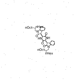 CCCCCCCCC(CCCCCC)CN1C(=O)C(=c2[nH]c(=O)c(=C3C(=O)N(CC(CCCCCC)CCCCCCCC)c4ccccc43)[nH]c2=O)c2ccccc21